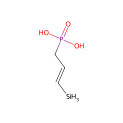 O=P(O)(O)CC=C[SiH3]